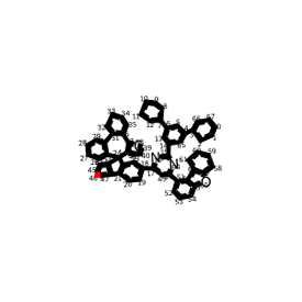 c1ccc(-c2cc(-c3ccccc3)cc(-c3nc(-c4ccc5c(c4)C4(c6ccccc6-c6ccccc6-c6ccccc64)c4ccccc4-5)cc(-c4cccc5oc6ccccc6c45)n3)c2)cc1